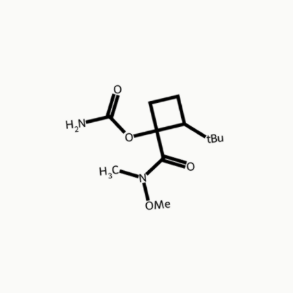 CON(C)C(=O)C1(OC(N)=O)CCC1C(C)(C)C